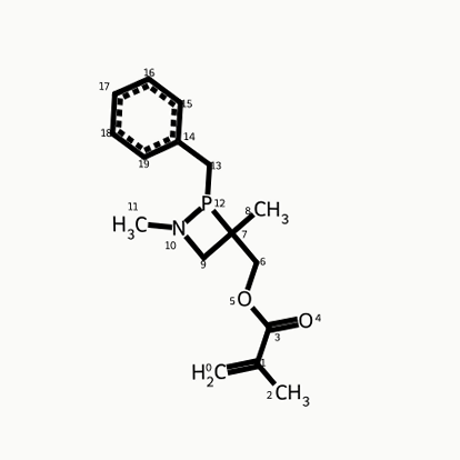 C=C(C)C(=O)OCC1(C)CN(C)P1Cc1ccccc1